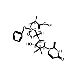 [2H]C([2H])(O[P@@](=O)(N[C@@H](C)C(=O)OC(C)C)Oc1ccccc1)[C@H]1O[C@@H](N2C=CC(=O)NC2=C)[C@](C)(F)[C@@H]1O